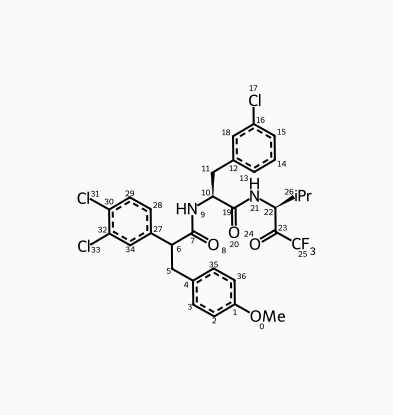 COc1ccc(CC(C(=O)N[C@@H](Cc2cccc(Cl)c2)C(=O)N[C@H](C(=O)C(F)(F)F)C(C)C)c2ccc(Cl)c(Cl)c2)cc1